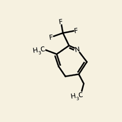 CCC1=CN=C(C(F)(F)F)C(C)=CC1